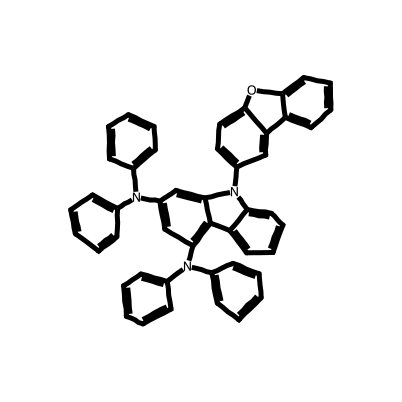 c1ccc(N(c2ccccc2)c2cc(N(c3ccccc3)c3ccccc3)c3c4ccccc4n(-c4ccc5oc6ccccc6c5c4)c3c2)cc1